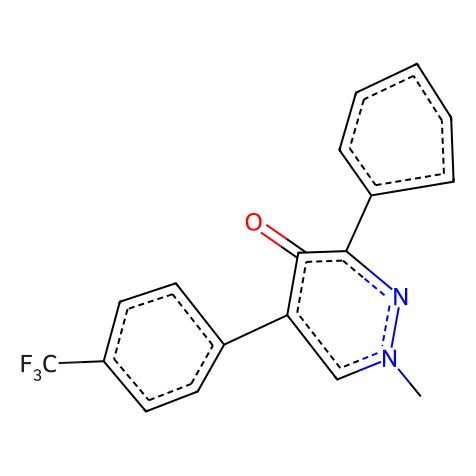 Cn1cc(-c2ccc(C(F)(F)F)cc2)c(=O)c(-c2ccccc2)n1